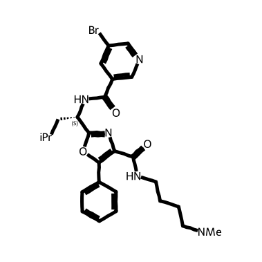 CNCCCCNC(=O)c1nc([C@H](CC(C)C)NC(=O)c2cncc(Br)c2)oc1-c1ccccc1